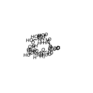 N[C@@H](CNC(=O)CC[C@H](NC(=O)C(Cc1ccccc1)NC(=O)CCCNC(=O)CC[C@H](NC(=O)N[C@@H](CCC(=O)O)C(=O)O)C(=O)O)C(=O)O)C(=O)N[C@@H](CC(=O)O)C(=O)N[C@@H](CS)C(=O)O